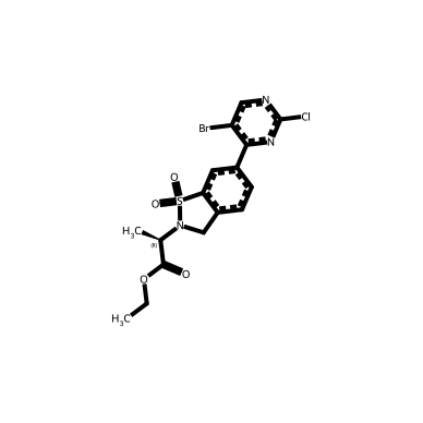 CCOC(=O)[C@@H](C)N1Cc2ccc(-c3nc(Cl)ncc3Br)cc2S1(=O)=O